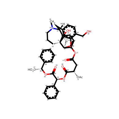 CC(=O)O[C@@H](CC(=O)OC1=CC[C@@]2(O)[C@H]3Cc4ccc(CO)c5c4[C@@]2(CCCN3C)[C@H]1O5)C(=O)O[C@H](C(=O)O[C@H](C(=O)O)c1ccccc1)c1ccccc1